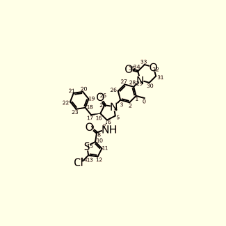 Cc1cc(N2C[C@H](NC(=O)c3ccc(Cl)s3)[C@@H](Cc3ccccc3)C2=O)ccc1N1CCOCC1=O